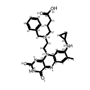 Cc1cc2nc3c(=O)[nH]c(=O)nc-3n(CCN(CCCC(=O)O)Cc3ccccc3)c2cc1NC1CC1